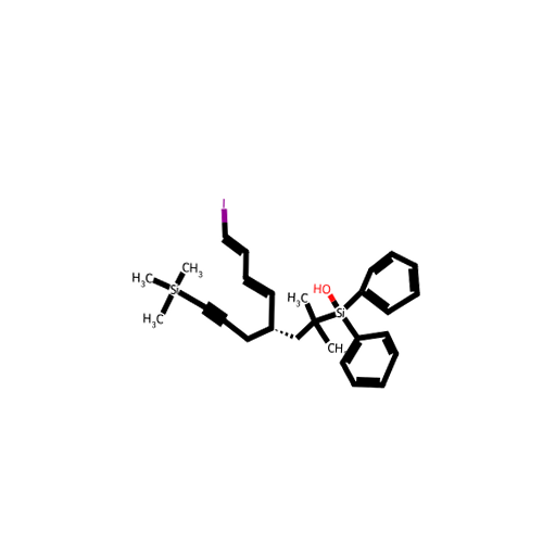 CC(C)(C[C@@H](/C=C/C=C/I)CC#C[Si](C)(C)C)[Si](O)(c1ccccc1)c1ccccc1